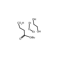 CC(C)COC(=O)CCC(=O)O.CCOCC.OCCO